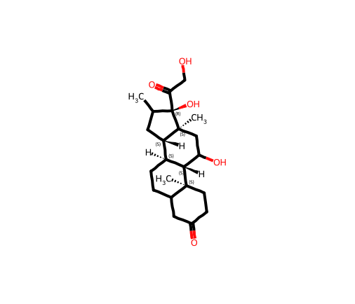 CC1C[C@H]2[C@@H]3CCC4CC(=O)CC[C@]4(C)[C@H]3C(O)C[C@]2(C)[C@@]1(O)C(=O)CO